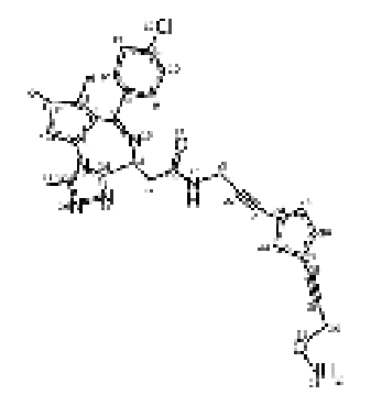 Cc1sc2c(c1C)C(c1ccc(Cl)cc1)=N[C@@H](CC(=O)NCC#Cc1ccc(C#CCON)s1)c1nnc(C)n1-2